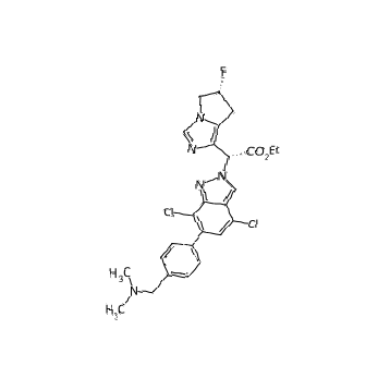 CCOC(=O)[C@@H](c1ncn2c1C[C@@H](F)C2)n1cc2c(Cl)cc(-c3ccc(CN(C)C)cc3)c(Cl)c2n1